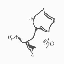 NC(=O)c1ccn[nH]1.O